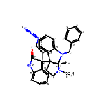 [N-]=[N+]=NCC[C@]1(C23CCN(C(=O)O)[C@H]2N(Cc2ccccc2)c2ccccc23)C(=O)Nc2ccccc21